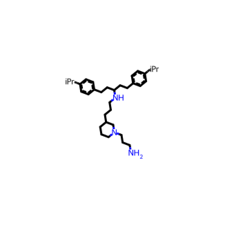 CC(C)c1ccc(CCC(CCc2ccc(C(C)C)cc2)NCCCC2CCCN(CCCN)C2)cc1